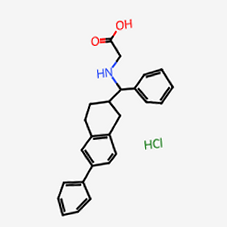 Cl.O=C(O)CNC(c1ccccc1)C1CCc2cc(-c3ccccc3)ccc2C1